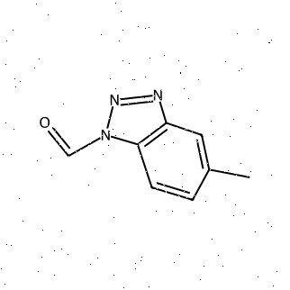 Cc1ccc2c(c1)nnn2C=O